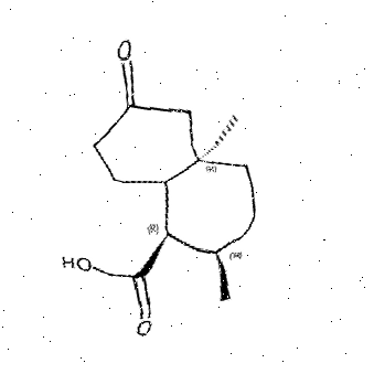 C[C@@H]1CC[C@]2(C)CC(=O)CCC2[C@@H]1C(=O)O